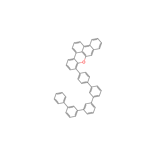 c1ccc(-c2cccc(-c3cccc(-c4cccc(-c5ccc(-c6cccc7c6Oc6cc8ccccc8c8cccc-7c68)cc5)c4)c3)c2)cc1